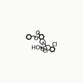 COc1ccc2c(c1OCc1ccccc1)C[C@@H](C(=O)O)N(C(=O)Cc1c(Cl)cccc1Cl)C2